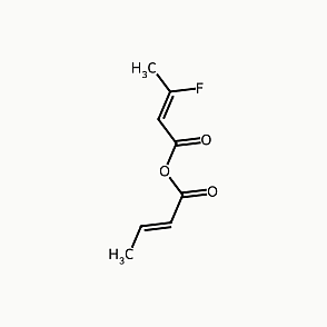 CC=CC(=O)OC(=O)C=C(C)F